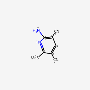 [CH2]Sc1nc(N)c(C#N)cc1C#N